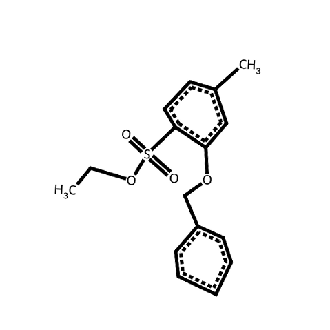 CCOS(=O)(=O)c1ccc(C)cc1OCc1ccccc1